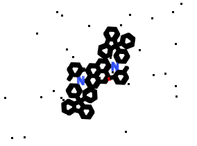 Cc1cccc(C)c1N(c1cccc(C2(c3ccccc3)c3ccccc3-c3ccccc32)c1)c1ccc2ccc3c(N(c4cccc(C5(c6ccccc6)c6ccccc6-c6ccccc65)c4)c4c(C)cccc4C)ccc4ccc1c2c43